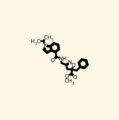 COC(=O)C1(Cc2ccccc2)CC(CNC(=O)c2cccc3c2ccn3C(C)C)=NO1